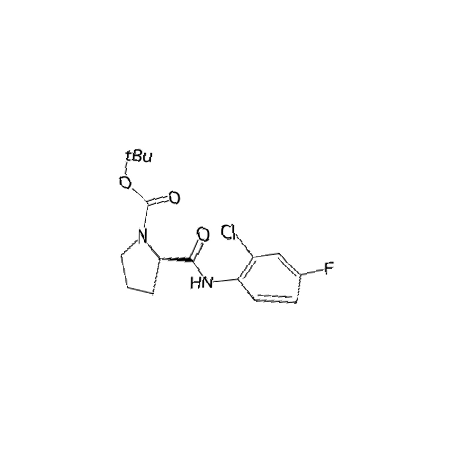 CC(C)(C)OC(=O)N1CCC[C@@H]1C(=O)Nc1ccc(F)cc1Cl